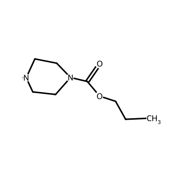 CCCOC(=O)N1CC[N]CC1